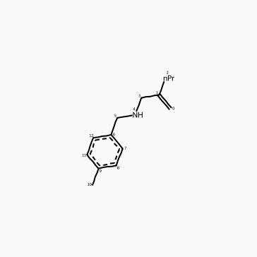 C=C(CCC)CNCc1ccc(C)cc1